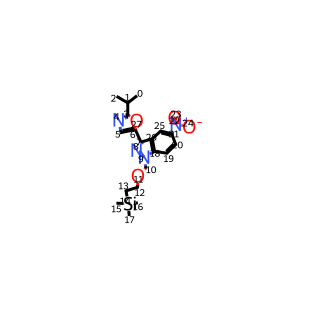 CC(C)c1ncc(-c2nn(COCC[Si](C)(C)C)c3ccc([N+](=O)[O-])cc23)o1